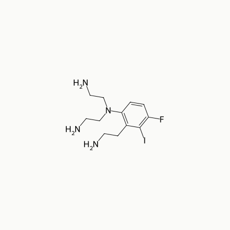 NCCc1c(N(CCN)CCN)ccc(F)c1I